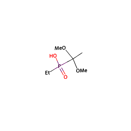 CCP(=O)(O)C(C)(OC)OC